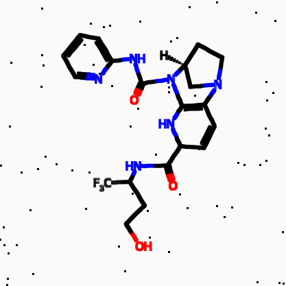 O=C(NC(CCO)C(F)(F)F)C1C=CC2=C(N1)N(C(=O)Nc1ccccn1)[C@H]1CCN2C1